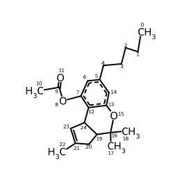 CCCCCc1cc(OC(C)=O)c2c(c1)OC(C)(C)C1CC(C)=CC21